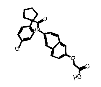 O=C(O)COc1ccc2cc(NC(=O)C3(c4ccc(Cl)cc4)CCCC3)ccc2c1